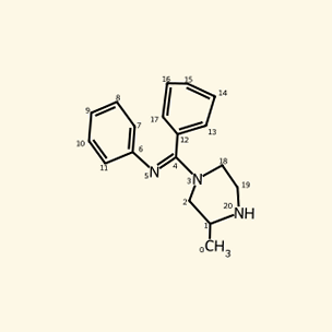 CC1CN(C(=Nc2ccccc2)c2ccccc2)CCN1